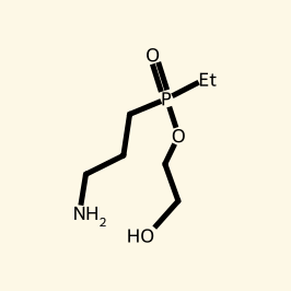 CCP(=O)(CCCN)OCCO